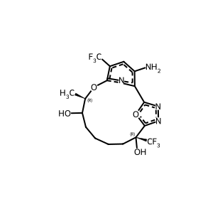 C[C@H]1Oc2nc(c(N)cc2C(F)(F)F)-c2nnc(o2)[C@@](O)(C(F)(F)F)CCCCC1O